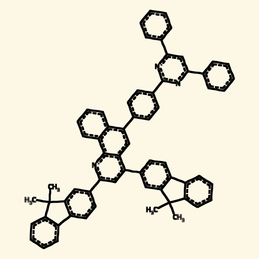 CC1(C)c2ccccc2-c2ccc(-c3cc(-c4ccc5c(c4)C(C)(C)c4ccccc4-5)c4cc(-c5ccc(-c6nc(-c7ccccc7)cc(-c7ccccc7)n6)cc5)c5ccccc5c4n3)cc21